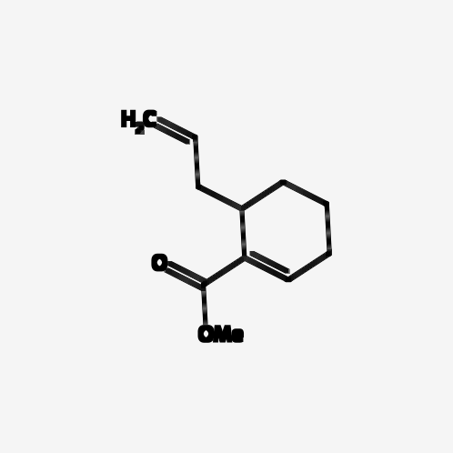 C=CCC1CCCC=C1C(=O)OC